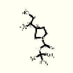 CC(C)(C)OC(=O)N1CCC([C@@H](N)CO)C1